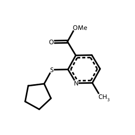 COC(=O)c1ccc(C)nc1SC1CCCC1